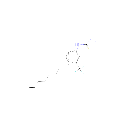 CCCCCCCOc1ccc(NC(N)=S)cc1C(F)(F)F